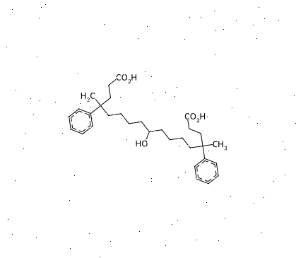 CC(CCCCC(O)CCCCC(C)(CCC(=O)O)c1ccccc1)(CCC(=O)O)c1ccccc1